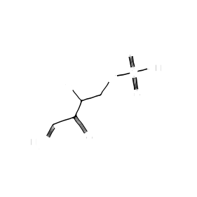 C=CC(=O)C(O)COS(C)(=O)=O